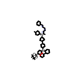 C\C(=C/C=C\C=C\c1ccccc1)N(c1ccc(C)cc1)c1ccc(-c2ccc(N(c3ccc(B4OC(C)(C)C(C)(C)O4)cc3)c3ccccc3-c3ccccc3)cc2)cc1